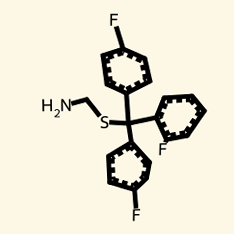 NCSC(c1ccc(F)cc1)(c1ccc(F)cc1)c1ccccc1F